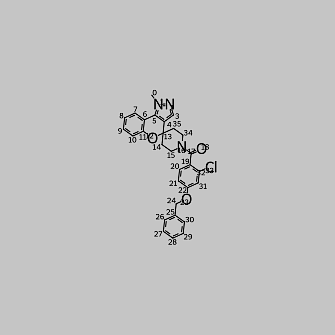 Cn1ncc2c1-c1ccccc1OC21CCN(C(=O)c2ccc(OCc3ccccc3)cc2Cl)CC1